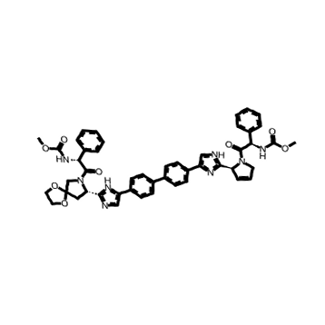 COC(=O)N[C@@H](C(=O)N1CC=C[C@H]1c1nc(-c2ccc(-c3ccc(-c4cnc([C@@H]5CC6(CN5C(=O)[C@H](NC(=O)OC)c5ccccc5)OCCO6)[nH]4)cc3)cc2)c[nH]1)c1ccccc1